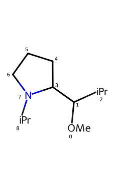 COC(C(C)C)C1CCCN1C(C)C